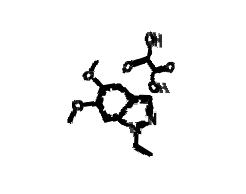 CCn1ncc2cc(OC)c(OC)cc21.O=C(O)C(=O)O